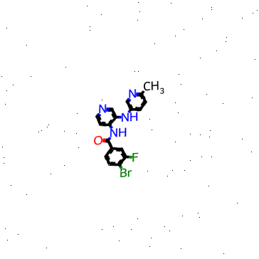 Cc1ccc(Nc2cnccc2NC(=O)c2ccc(Br)c(F)c2)cn1